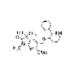 COc1nc2c(cc1CNC1CCCNC1c1ccccc1)C(C)(C)C(=O)N2C